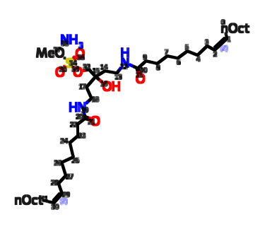 CCCCCCCC/C=C\CCCCCCCC(=O)NCCC(O)(CCNC(=O)CCCCCCC/C=C\CCCCCCCC)COS(=O)(=O)OC.N